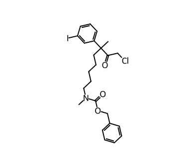 CN(CCCCCC(C)(C(=O)CCl)c1cccc(I)c1)C(=O)OCc1ccccc1